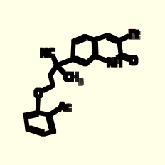 CCc1cc2ccc(C(C)(C#N)CCOc3ccccc3C(C)=O)cc2[nH]c1=O